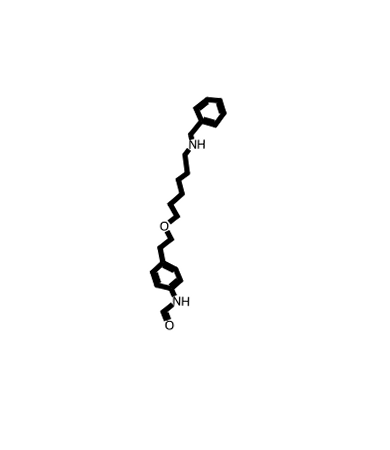 O=CNc1ccc(CCOCCCCCCNCc2ccccc2)cc1